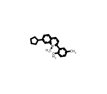 Cc1ccc(C)c(-c2ccc3ccc(C4CCCC4)cc3[n+]2C)c1